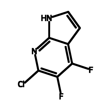 Fc1c(Cl)nc2[nH]ccc2c1F